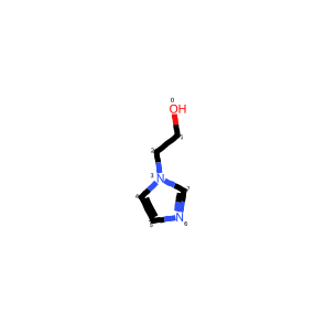 OCCn1c[c]nc1